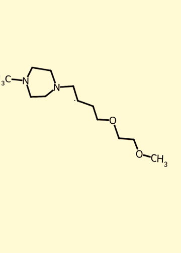 COCCOCC[CH]CN1CCN(C)CC1